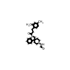 Cc1ccc(CCC(=O)N2CC3(CCN(NC=O)CC3)c3ccccc32)c(C)c1